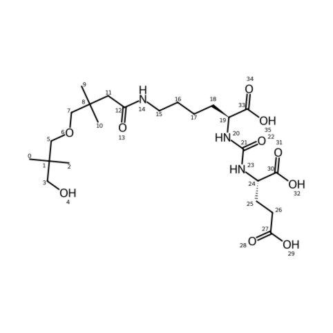 CC(C)(CO)COCC(C)(C)CC(=O)NCCCC[C@H](NC(=O)N[C@@H](CCC(=O)O)C(=O)O)C(=O)O